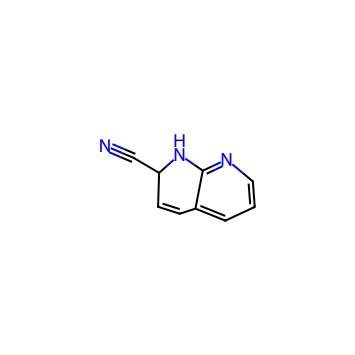 N#CC1C=Cc2cccnc2N1